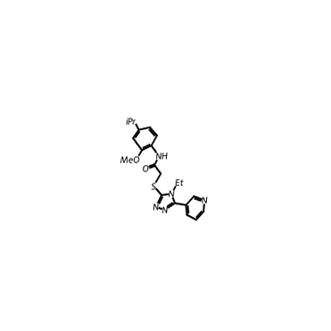 CCn1c(SCC(=O)Nc2ccc(C(C)C)cc2OC)nnc1-c1cccnc1